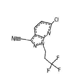 N#Cc1nn(CCC(F)(F)F)c2nc(Cl)ccc12